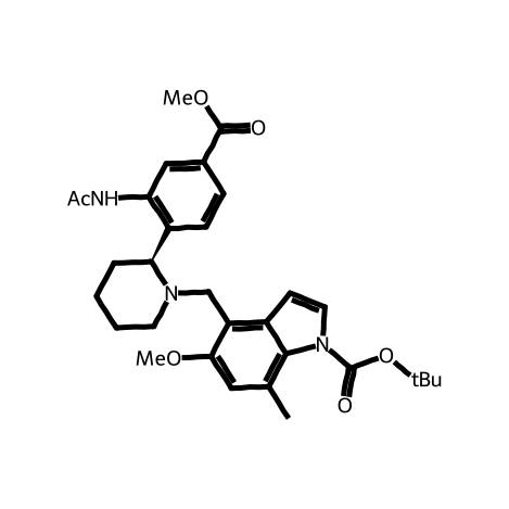 COC(=O)c1ccc([C@@H]2CCCCN2Cc2c(OC)cc(C)c3c2ccn3C(=O)OC(C)(C)C)c(NC(C)=O)c1